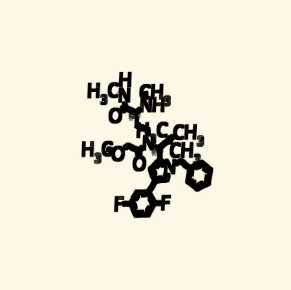 CNC(=O)[C@H](CCN(C(=O)COC)[C@@H](c1cc(-c2cc(F)ccc2F)cn1Cc1ccccc1)C(C)(C)C)NC